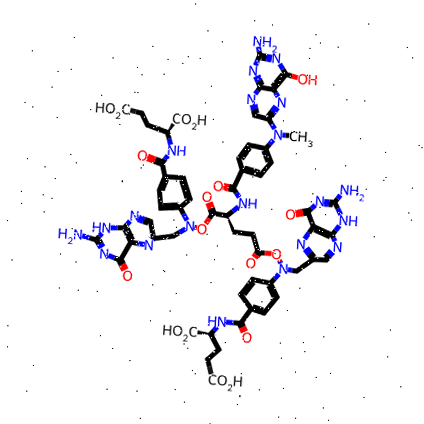 CN(c1ccc(C(=O)N[C@@H](CCC(=O)ON(Cc2cnc3[nH]c(N)nc(=O)c3n2)c2ccc(C(=O)N[C@@H](CCC(=O)O)C(=O)O)cc2)C(=O)ON(Cc2cnc3[nH]c(N)nc(=O)c3n2)c2ccc(C(=O)N[C@@H](CCC(=O)O)C(=O)O)cc2)cc1)c1cnc2nc(N)nc(O)c2n1